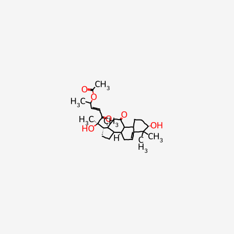 CC(=O)OC(C)/C=C/C(=O)[C@](C)(O)[C@H]1CCC2[C@@H]3CC=C4C(CC[C@H](O)C4(C)C)C3C(=O)C[C@@]21C